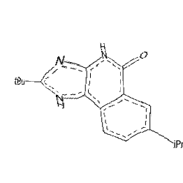 CC(C)c1ccc2c(c1)c(=O)[nH]c1nc(C(C)(C)C)[nH]c12